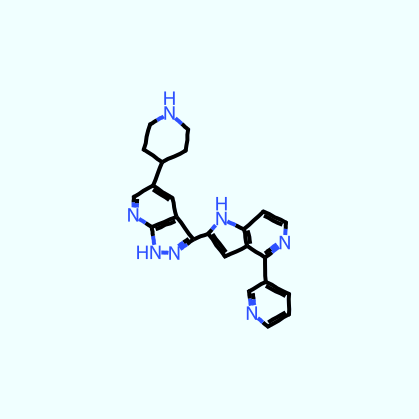 c1cncc(-c2nccc3[nH]c(-c4n[nH]c5ncc(C6CCNCC6)cc45)cc23)c1